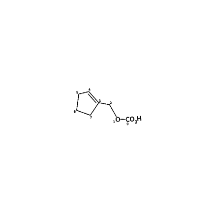 O=C(O)OCC1=CCCC1